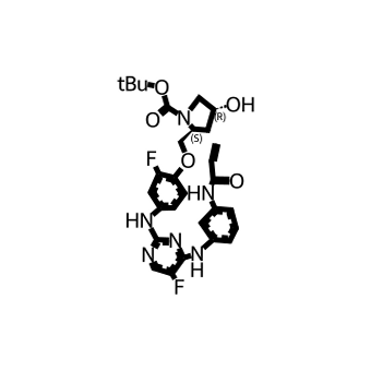 C=CC(=O)Nc1cccc(Nc2nc(Nc3ccc(OC[C@@H]4C[C@@H](O)CN4C(=O)OC(C)(C)C)c(F)c3)ncc2F)c1